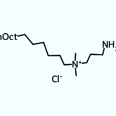 CCCCCCCCCCCCCC[N+](C)(C)CCCN.[Cl-]